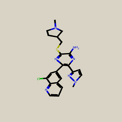 CN1CCC(CSc2nc(-c3cc(Cl)c4ncccc4c3)c(-c3ccn(C)n3)nc2N)C1